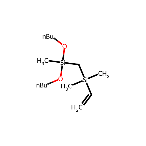 C=C[Si](C)(C)C[Si](C)(OCCCC)OCCCC